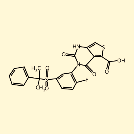 CC(C)(c1ccccc1)S(=O)(=O)c1ccc(F)c(-n2c(=O)[nH]c3csc(C(=O)O)c3c2=O)c1